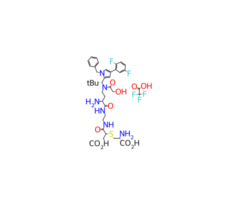 CC(C)(C)[C@H](c1cc(-c2cc(F)ccc2F)cn1Cc1ccccc1)N(CC[C@H](N)C(=O)NCCNC(=O)C(CC(=O)O)SC[C@H](N)C(=O)O)C(=O)CO.O=C(O)C(F)(F)F